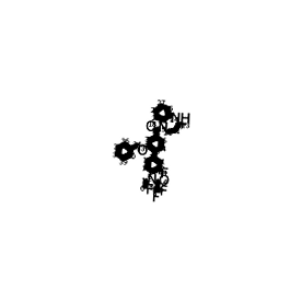 CCN(C(=O)C(F)(F)F)c1ccc(-c2ccc(C(=O)N3CC[C@H](C)Nc4ccccc43)cc2OCc2ccccc2)cc1F